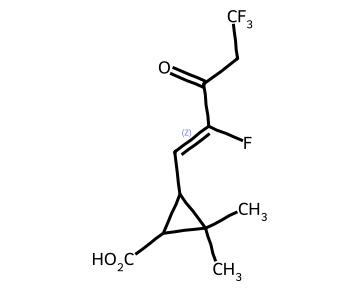 CC1(C)C(/C=C(\F)C(=O)CC(F)(F)F)C1C(=O)O